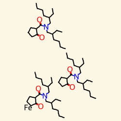 CCCCC(CC)CN(CC(CC)CCCC)C(=O)C1CCCC1=O.CCCCC(CC)CN(CC(CC)CCCC)C(=O)C1CCCC1=O.CCCCC(CC)CN(CC(CC)CCCC)C(=O)C1CCCC1=O.[Fe]